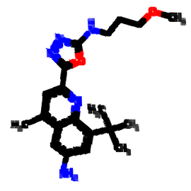 COCCCNc1nnc(-c2cc(C)c3cc(N)cc(C(C)(C)C)c3n2)o1